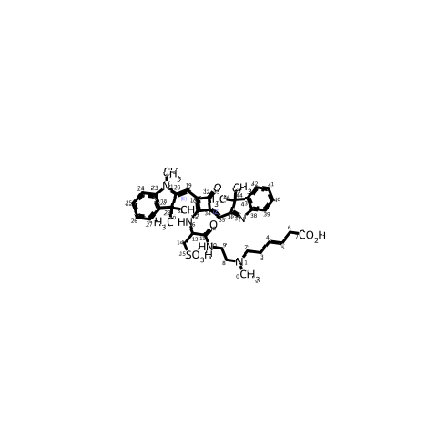 CN(CCCCCC(=O)O)CCNC(=O)C(CS(=O)(=O)O)NC1=C(/C=C2/N(C)c3ccccc3C2(C)C)C(=O)/C1=C\C1=Nc2ccccc2C1(C)C